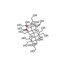 CCCCCCCCCCC(CC(O)CO)(CC(O)CO)C(CC(O)CO)(CC(O)CO)C(CC(O)CO)(CC(O)CO)C(CC(O)CO)(CC(O)CO)C(CC(O)CO)(CC(O)CO)C(=O)O